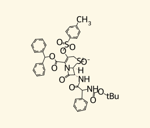 Cc1ccc(S(=O)(=O)OC2=C(C(=O)OC(c3ccccc3)c3ccccc3)N3C(=O)[C@@H](NC(=O)C(NC(=O)OC(C)(C)C)c4ccccc4)[C@@H]3[S+]([O-])C2)cc1